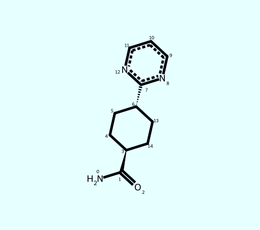 NC(=O)[C@H]1CC[C@H](c2ncccn2)CC1